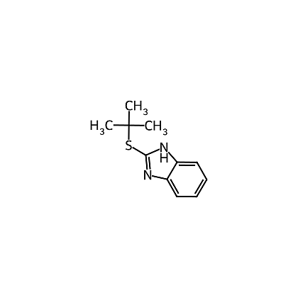 CC(C)(C)Sc1nc2ccccc2[nH]1